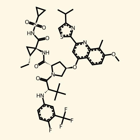 CC[C@@H]1C[C@]1(NC(=O)[C@@H]1C[C@@H](Oc2cc(-c3nc(C(C)C)cs3)nc3c(C)c(OC)ccc23)CN1C(=O)[C@@H](Nc1ccc(F)c(C(F)(F)F)c1)C(C)(C)C)C(=O)NS(=O)(=O)C1CC1